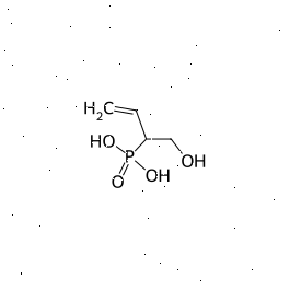 C=CC(CO)P(=O)(O)O